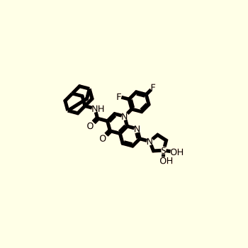 O=C(NC12CC3CC(CC(C3)C1)C2)c1cn(-c2ccc(F)cc2F)c2nc(N3CCS(O)(O)C3)ccc2c1=O